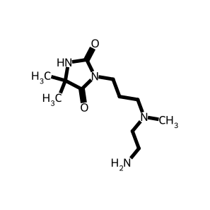 CN(CCN)CCCN1C(=O)NC(C)(C)C1=O